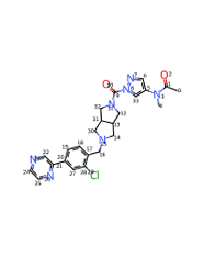 CC(=O)N(C)c1cnn(C(=O)N2CC3CN(Cc4ccc(-c5cnccn5)cc4Cl)CC3C2)c1